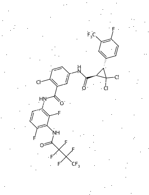 O=C(Nc1ccc(F)c(NC(=O)C(F)(F)C(F)(F)C(F)(F)F)c1F)c1cc(NC(=O)[C@H]2[C@H](c3ccc(F)c(C(F)(F)F)c3)C2(Cl)Cl)ccc1Cl